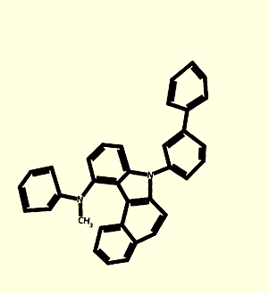 CN(c1ccccc1)c1cccc2c1c1c3ccccc3ccc1n2-c1cccc(-c2ccccc2)c1